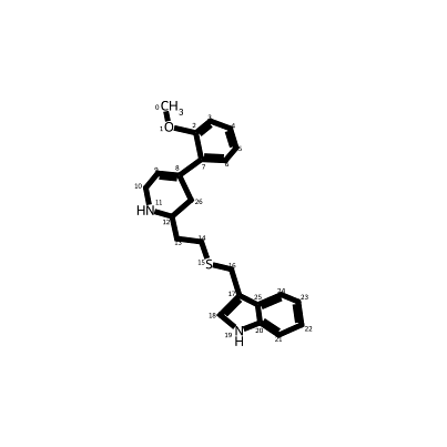 COc1ccccc1C1=CCNC(CCSCc2c[nH]c3ccccc23)C1